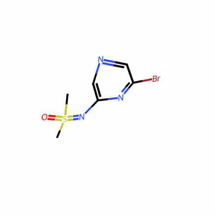 CS(C)(=O)=Nc1cncc(Br)n1